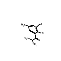 Cc1cc(Cl)c(O)c(C(=O)C(C)C)c1